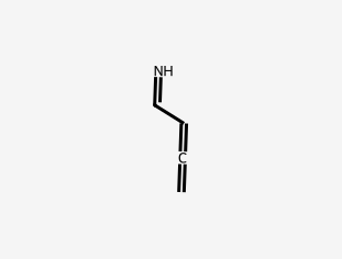 C=C=CC=N